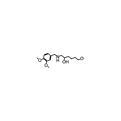 COc1ccc(CNCC(O)CCCC[O])cc1OC